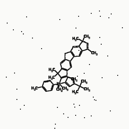 [CH2]=[Zn]([CH3])([C]1=CC(C(C)(C)C)=CC1)([C]1=C(C)c2cc3c(cc2C1(C)C)Cc1cc2c(cc1-3)C(C)=CC2(C)C)[c]1ccc(C)cc1